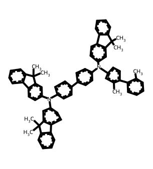 Cc1ccccc1-c1ccc(N(c2ccc(-c3ccc(N(c4ccc5c(c4)C(C)(C)c4ccccc4-5)c4ccc5c(c4)C(C)(C)c4ccccc4-5)cc3)cc2)c2ccc3c(c2)C(C)(C)c2ccccc2-3)cc1C